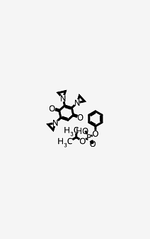 CC(C)OP(=O)(O)Oc1ccccc1.O=C1C=C(N2CC2)C(=O)C(N2CC2)=C1N1CC1